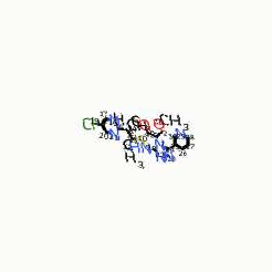 COCC(COC)n1c(NS[C@@H](C)C(C)c2ncc(Cl)cn2)nnc1-c1cccnc1